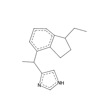 CCC1CCc2c1cccc2C(C)c1c[nH]cn1